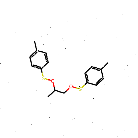 Cc1ccc(SOCC(C)OSc2ccc(C)cc2)cc1